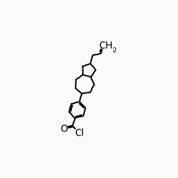 C=CCC1CC2CCC(c3ccc(C(=O)Cl)cc3)CCC2C1